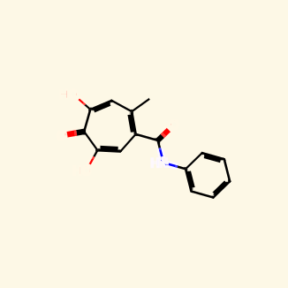 Cc1cc(O)c(=O)c(O)cc1C(=O)Nc1ccccc1